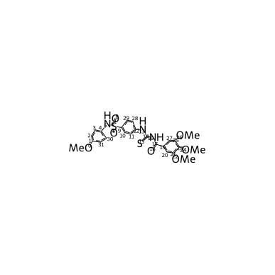 COc1ccc(NS(=O)(=O)c2ccc(NC(=S)NC(=O)c3cc(OC)c(OC)c(OC)c3)cc2)cc1